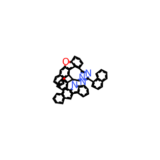 c1ccc(C2(n3c4ccccc4c4cc5ccccc5cc43)c3nc(-c4cccc5ccccc45)nc(n3)-c3cccc4oc5cc6ccccc6c2c5c34)cc1